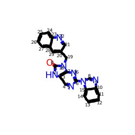 O=c1[nH]c2cnc(-n3cnc4ccccc43)nc2n1Cc1cnc2ccccc2c1